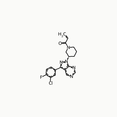 C=CC(=O)N1CCC[C@@H](n2nc(-c3ccc(F)c(Cl)c3)c3cncnc32)C1